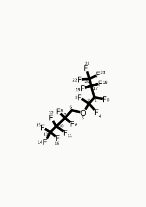 FC(C(F)(F)OCC(F)(F)C(F)(F)C(F)(F)F)C(F)(F)C(F)(F)F